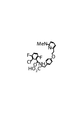 CNc1cccc(CCOc2ccc(C[C@H](NC(=O)c3c(F)ccc(F)c3Cl)C(=O)O)cc2)n1